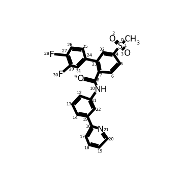 CS(=O)(=O)c1ccc(C(=O)Nc2cccc(-c3ccccn3)c2)c(-c2ccc(F)c(F)c2)c1